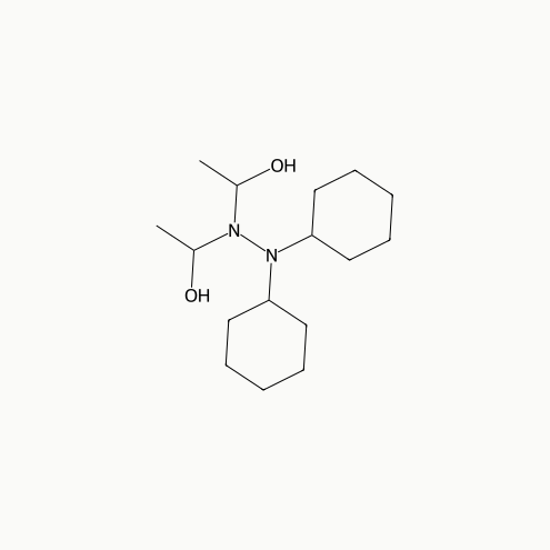 CC(O)N(C(C)O)N(C1CCCCC1)C1CCCCC1